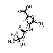 Cc1nc(C(=O)O)sc1NC(=O)OC(C)(C)C